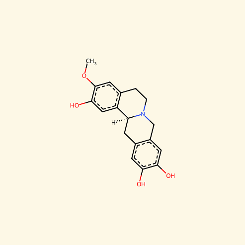 COc1cc2c(cc1O)[C@@H]1Cc3cc(O)c(O)cc3CN1CC2